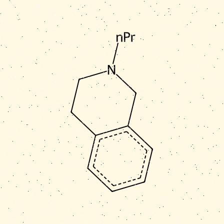 CCCN1CCc2ccccc2C1